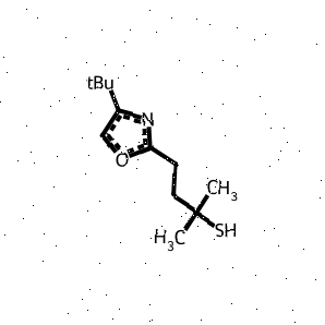 CC(C)(S)CCc1nc(C(C)(C)C)co1